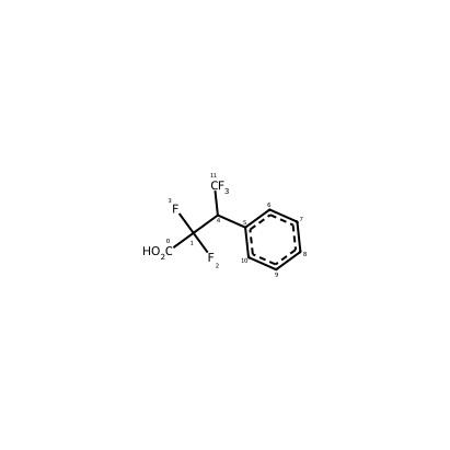 O=C(O)C(F)(F)C(c1ccccc1)C(F)(F)F